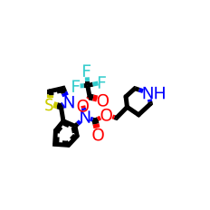 O=C(OCC1CCNCC1)N(OC(=O)C(F)(F)F)c1ccccc1-c1nccs1